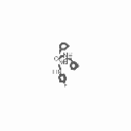 O=C(NCCNc1ccc(F)cc1)[C@H](CC1CCCCC1)NC(=O)[C@@H](F)c1ccccc1